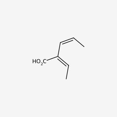 CC=C(/C=C\C)C(=O)O